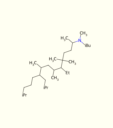 CCC(C)N(C)C(C)CCC(C)(C)C(CC)C(C)CC(C)C(CCCC(C)C)CC(C)C